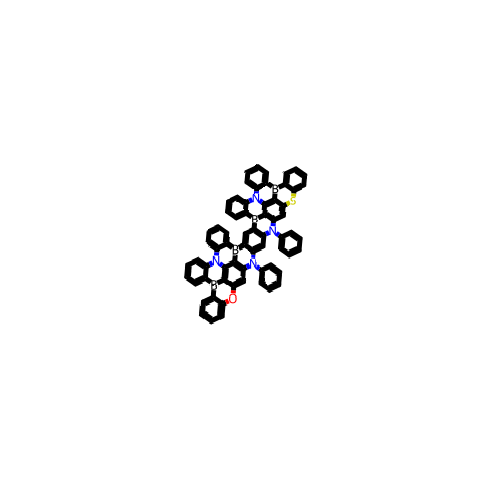 c1ccc(N2c3cc4c(cc3B3c5ccccc5N5c6ccccc6B6c7ccccc7Oc7cc2c3c5c76)B2c3ccccc3N3c5ccccc5B5c6ccccc6Sc6cc(c2c3c65)N4c2ccccc2)cc1